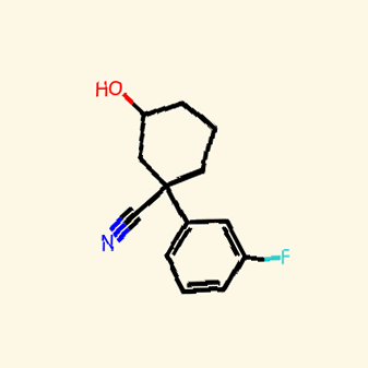 N#CC1(c2cccc(F)c2)CCCC(O)C1